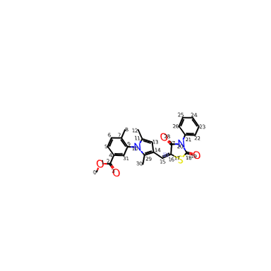 COC(=O)c1ccc(C)c(-n2c(C)cc(/C=C3/SC(=O)N(c4ccccc4)C3=O)c2C)c1